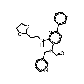 O=CN(Cc1cccnc1)c1ccc(-c2ccccc2)nc1NCCC1OCCO1